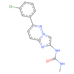 CNC(=O)Nc1cn2nc(-c3cccc(Cl)c3)ccc2n1